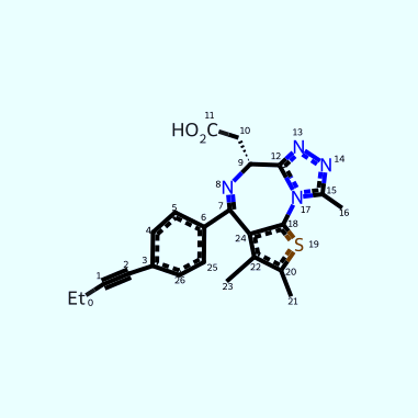 CCC#Cc1ccc(C2=N[C@H](CC(=O)O)c3nnc(C)n3-c3sc(C)c(C)c32)cc1